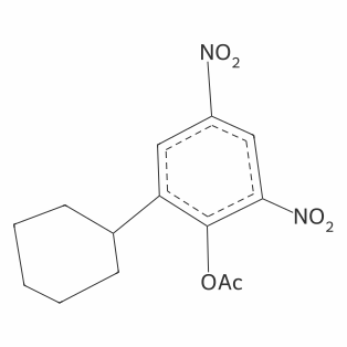 CC(=O)Oc1c(C2CCCCC2)cc([N+](=O)[O-])cc1[N+](=O)[O-]